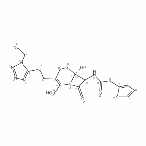 N#CCn1nnnc1SCC1=C(C(=O)O)N2C(=O)C(NC(=O)Cc3cccs3)[C@@H]2SC1